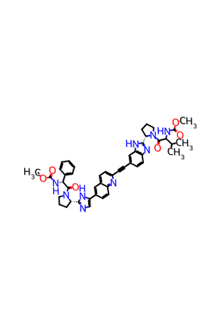 COC(=O)NC(C(=O)N1CCC[C@H]1c1nc2ccc(C#Cc3ccc4cc(-c5cnc([C@@H]6CCCN6C(=O)[C@H](NC(=O)OC)c6ccccc6)[nH]5)ccc4n3)cc2[nH]1)C(C)C